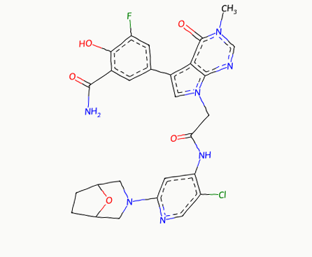 Cn1cnc2c(c(-c3cc(F)c(O)c(C(N)=O)c3)cn2CC(=O)Nc2cc(N3CC4CCC(C3)O4)ncc2Cl)c1=O